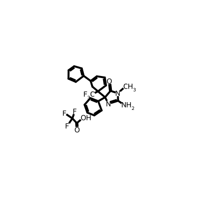 CN1C(=O)C(c2ccccc2)(C2(C(F)(F)F)C=CC=C(c3ccccc3)C2)N=C1N.O=C(O)C(F)(F)F